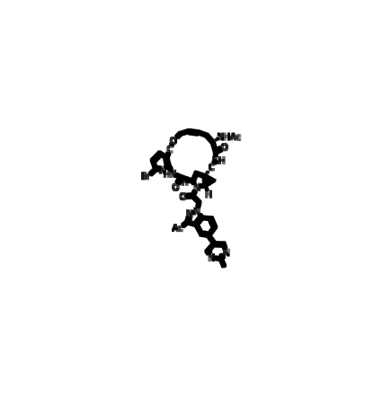 CC(=O)N[C@H]1CC=CCOCc2ccc(Br)nc2NC(=O)[C@@H]2C[C@@]3(CNC1=O)C[C@@H]3N2C(=O)Cn1nc(C(C)=O)c2cc(-c3cnc(C)nc3)ccc21